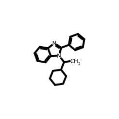 [CH2]C(C1CCCCC1)n1c(-c2ccccc2)nc2ccccc21